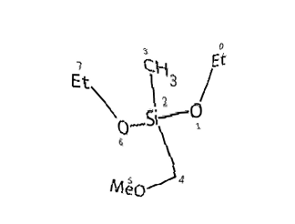 CCO[Si](C)(COC)OCC